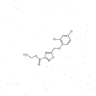 CCOC(=O)c1noc(COc2ccc(Cl)cc2Cl)n1